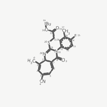 CC1=CC(C#N)=CC=C2C(=O)N(c3ccc(F)c(C)c3)C(SCC(=O)OC(C)(C)C)=NC12